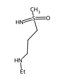 CCNCCCS(C)(=N)=O